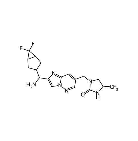 NC(c1cn2ncc(CN3C[C@@H](C(F)(F)F)NC3=O)cc2n1)C1CC2C(C1)C2(F)F